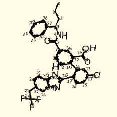 CCC[C@@H](NC(=O)c1ccc(-c2cc(Cl)ccc2-c2nc3cc(CC(F)(F)F)ccc3[nH]2)c(C(=O)O)c1)c1ccccc1